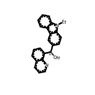 CCn1c2ccccc2c2cc([C@@H](O)c3cccc4cccnc34)ccc21